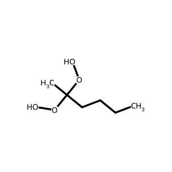 CCCCC(C)(OO)OO